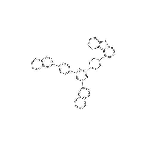 C1=C(c2nc(-c3ccc(-c4ccc5ccccc5c4)cc3)nc(-c3ccc4ccccc4c3)n2)CCC(c2cccc3oc4ccccc4c23)=C1